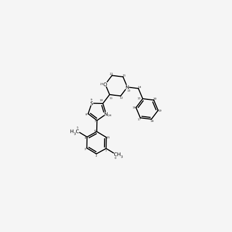 Cc1ccc(C)c(-c2csc(C3CN(Cc4ccccc4)CCO3)n2)c1